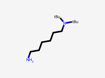 CC(C)(C)N(CCCCCCN)C(C)(C)C